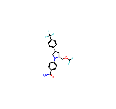 NC(=O)c1ccc(N2C[C@H](c3ccc(C(F)(F)F)cc3)C[C@H]2COC(F)F)cc1